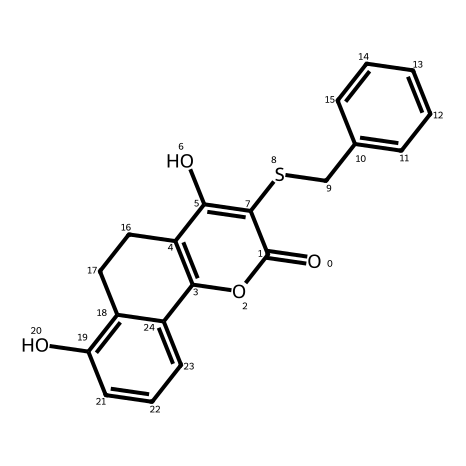 O=c1oc2c(c(O)c1SCc1ccccc1)CCc1c(O)cccc1-2